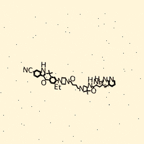 CCc1cc2c(cc1N1CCN(C(=O)CCCN3C[C@H](NC(=O)[C@@H](N)CCCc4cccnc4N)C(C)(C)C3)CC1)C(C)(C)c1[nH]c3cc(C#N)ccc3c1C2=O